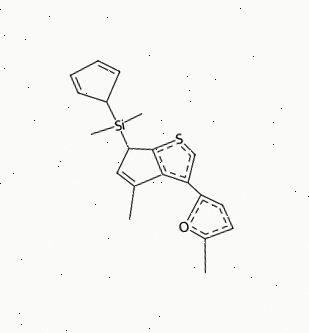 CC1=CC([Si](C)(C)C2C=CC=C2)c2scc(-c3ccc(C)o3)c21